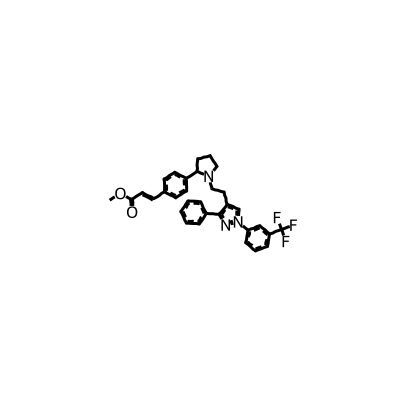 COC(=O)C=Cc1ccc(C2CCCN2CCc2cn(-c3cccc(C(F)(F)F)c3)nc2-c2ccccc2)cc1